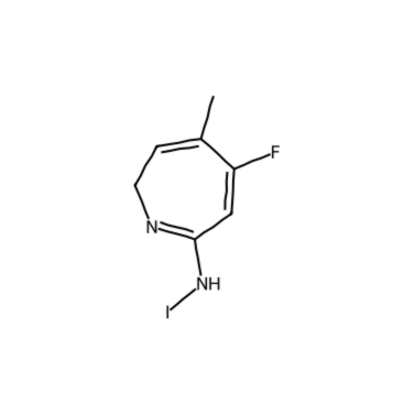 CC1=CCN=C(NI)C=C1F